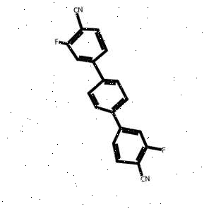 N#Cc1ccc(-c2ccc(-c3ccc(C#N)c(F)c3)cc2)cc1F